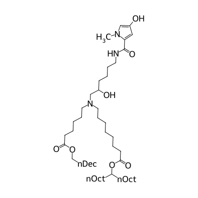 CCCCCCCCCCCOC(=O)CCCCCN(CCCCCCCC(=O)OC(CCCCCCCC)CCCCCCCC)CC(O)CCCCNC(=O)c1cc(O)cn1C